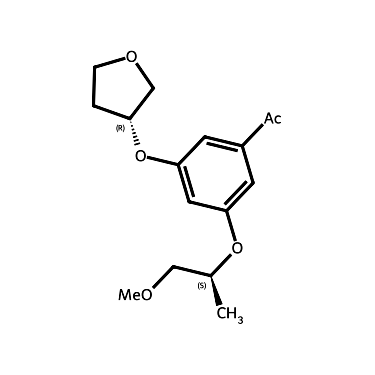 COC[C@H](C)Oc1cc(O[C@@H]2CCOC2)cc(C(C)=O)c1